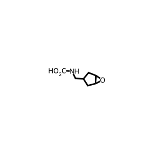 O=C(O)NCC1CC2OC2C1